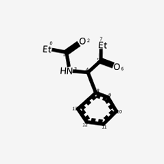 CCC(=O)NC(C(=O)CC)c1ccccc1